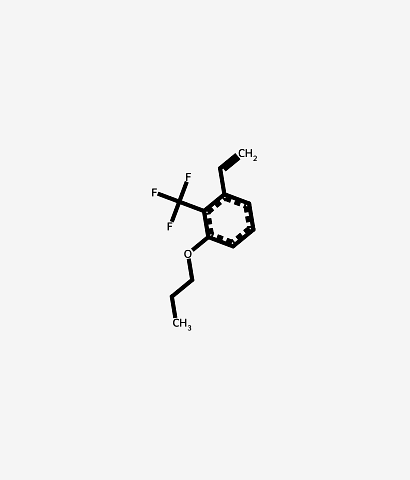 C=Cc1cccc(OCCC)c1C(F)(F)F